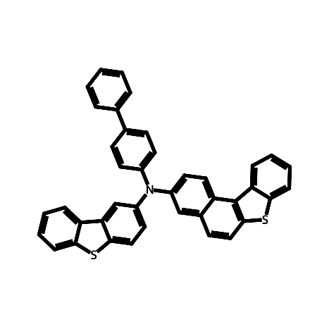 c1ccc(-c2ccc(N(c3ccc4c(ccc5sc6ccccc6c54)c3)c3ccc4sc5ccccc5c4c3)cc2)cc1